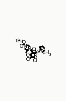 CN1CCC[C@@H]1COc1nc(Cl)c(Cl)c2c1C(=O)N1CCN(C(=O)OC(C)(C)C)CC1CO2